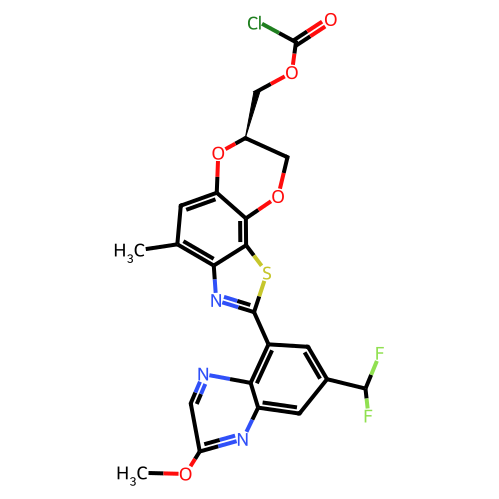 COc1cnc2c(-c3nc4c(C)cc5c(c4s3)OC[C@H](COC(=O)Cl)O5)cc(C(F)F)cc2n1